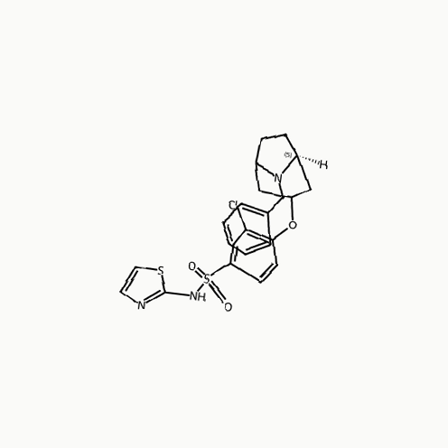 O=S(=O)(Nc1nccs1)c1ccc(OC2CC3CC[C@@H](C2)N3Cc2ccccc2)c(Cl)c1